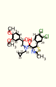 COc1ccc(C(O)CN(CC2CC2)C(=O)c2nc(C)sc2-c2ccc(Cl)c(Cl)c2)cc1OC